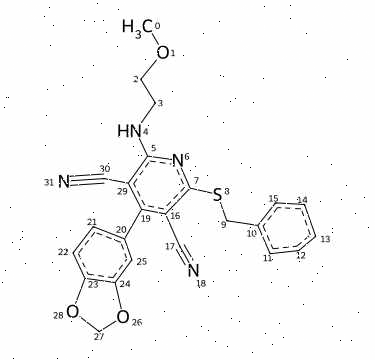 COCCNc1nc(SCc2ccccc2)c(C#N)c(-c2ccc3c(c2)OCO3)c1C#N